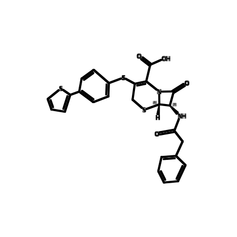 O=C(Cc1ccccc1)N[C@@H]1C(=O)N2C(C(=O)O)=C(Sc3ccc(-c4cccs4)cc3)CS[C@@H]12